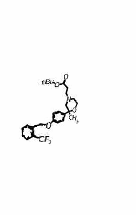 CC(C)(C)OC(=O)CCN1CCOC(C)(c2ccc(OCc3ccccc3C(F)(F)F)cc2)C1